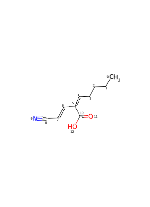 CCCCC=C(C=CC#N)C(=O)O